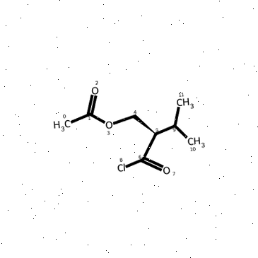 CC(=O)OC[C@H](C(=O)Cl)C(C)C